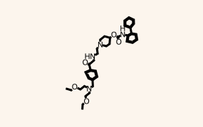 CCOCCN(CCOCC)Cc1ccc(C(=O)CNCCN2CCC(OC(=O)Nc3ccccc3-c3ccccc3)CC2)cc1